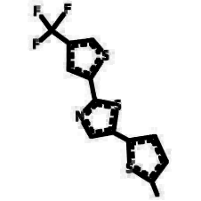 Cc1ccc(-c2cnc(-c3cc(C(F)(F)F)cs3)s2)s1